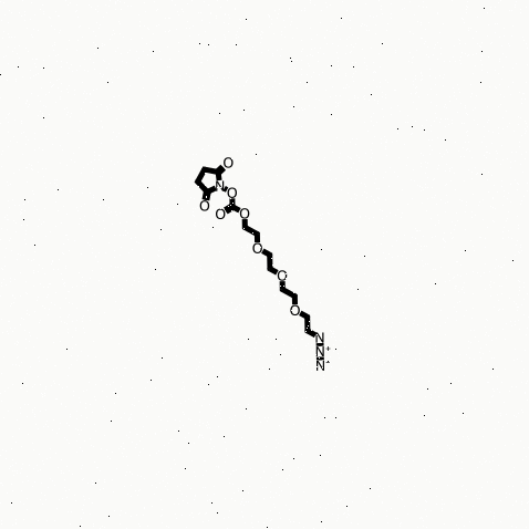 [N-]=[N+]=NCCOCCOCCOCCOC(=O)ON1C(=O)CCC1=O